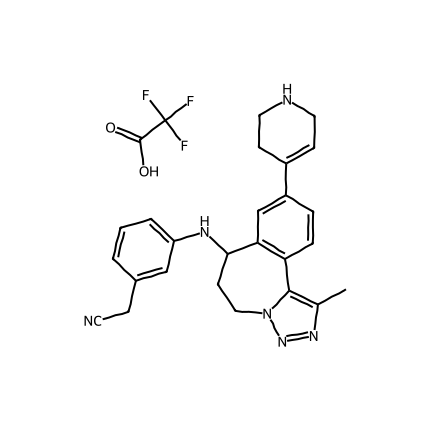 Cc1nnn2c1-c1ccc(C3=CCNCC3)cc1C(Nc1cccc(CC#N)c1)CC2.O=C(O)C(F)(F)F